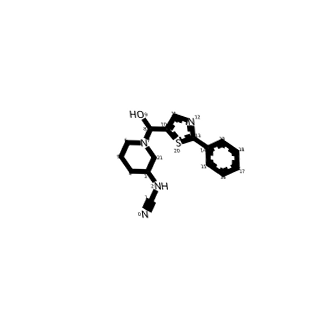 N#CNC1CCCN(C(O)c2cnc(-c3ccccc3)s2)C1